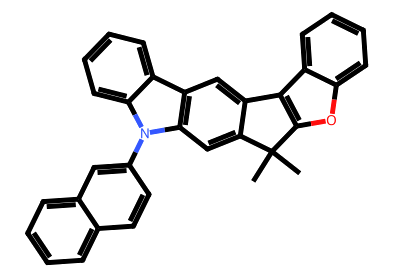 CC1(C)c2cc3c(cc2-c2c1oc1ccccc21)c1ccccc1n3-c1ccc2ccccc2c1